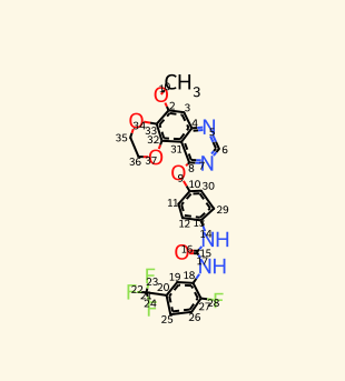 COc1cc2ncnc(Oc3ccc(NC(=O)Nc4cc(C(F)(F)F)ccc4F)cc3)c2c2c1OCCO2